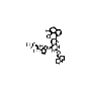 C=CC(=O)N1CCC2[C@H]1CN2c1nc(OCC23CCCN2CCC3)nc2nc(-c3cccc4ccc(F)c(Cl)c34)ccc12